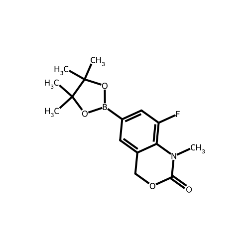 CN1C(=O)OCc2cc(B3OC(C)(C)C(C)(C)O3)cc(F)c21